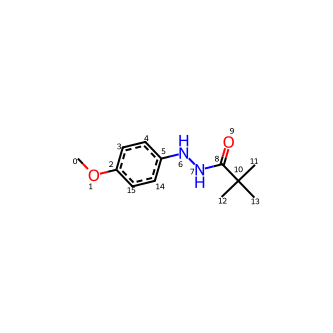 COc1ccc(NNC(=O)C(C)(C)C)cc1